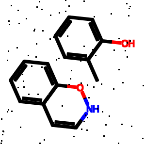 C1=Cc2ccccc2ON1.Cc1ccccc1O